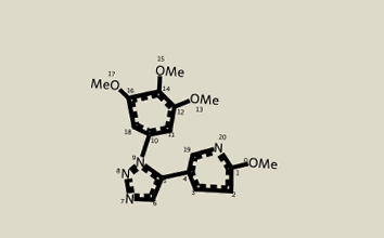 COc1ccc(-c2cnnn2-c2cc(OC)c(OC)c(OC)c2)cn1